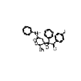 CC(C)C(=O)C1(CC(=O)Nc2ccccc2)OC1(C(=O)c1ccc(F)cc1)c1ccccc1